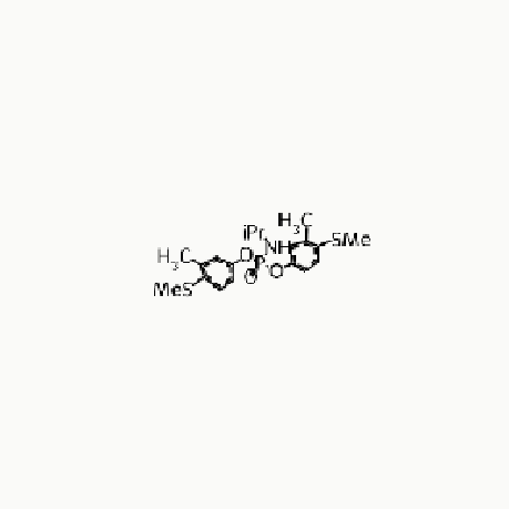 CSc1ccc(OP(=O)(NC(C)C)Oc2ccc(SC)c(C)c2)cc1C